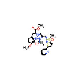 COC(=O)C(Cc1ccc(OC)c(OC)c1)N1C=C(CN[SH](C)(=O)c2ccc(-c3ccccn3)s2)NN1